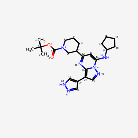 CC(C)(C)OC(=O)N1CCCC(c2cc(NC3CCCC3)n3ncc(-c4cn[nH]c4)c3n2)C1